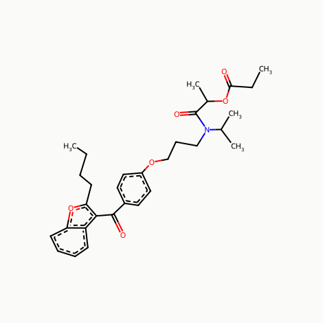 CCCCc1oc2ccccc2c1C(=O)c1ccc(OCCCN(C(=O)C(C)OC(=O)CC)C(C)C)cc1